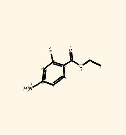 CCOC(=O)c1ccc([2NH2])cc1F